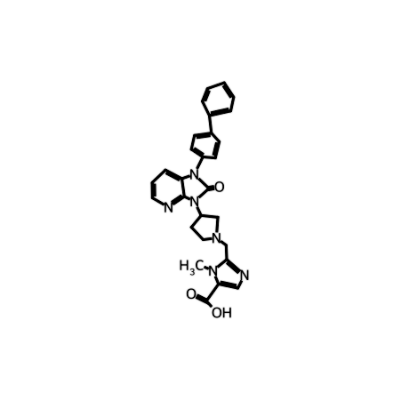 Cn1c(C(=O)O)cnc1CN1CCC(n2c(=O)n(-c3ccc(-c4ccccc4)cc3)c3cccnc32)C1